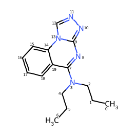 CCCN(CCC)c1nc2nncn2c2ccccc12